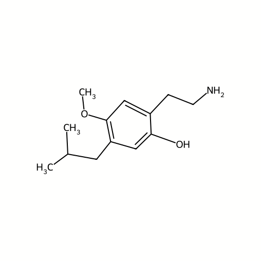 COc1cc(CCN)c(O)cc1CC(C)C